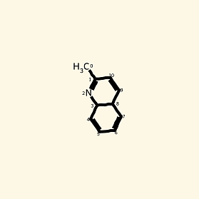 CC1=NC2C=CC=CC2C=C1